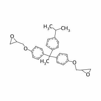 CC(C)c1ccc(C(C)(c2ccc(OCC3CO3)cc2)c2ccc(OCC3CO3)cc2)cc1